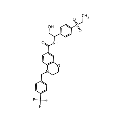 CCS(=O)(=O)c1ccc(C(CO)NC(=O)c2ccc3c(c2)OCCN3Cc2ccc(C(F)(F)F)cc2)cc1